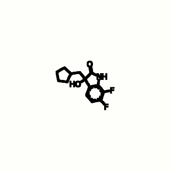 O=C1Nc2c(ccc(F)c2F)C1(O)CC1CCCC1